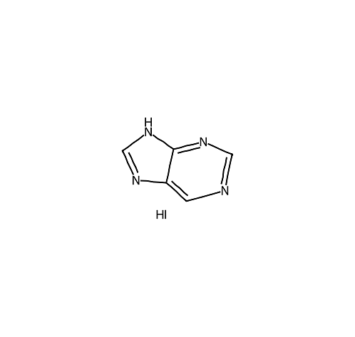 I.c1ncc2nc[nH]c2n1